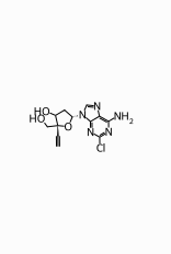 C#C[C@]1(CO)O[C@@H](n2cnc3c(N)nc(Cl)nc32)CC1O